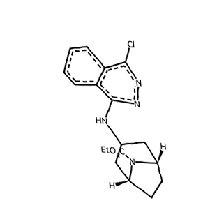 CCOC(=O)N1[C@@H]2CC[C@H]1CC(Nc1nnc(Cl)c3ccccc13)C2